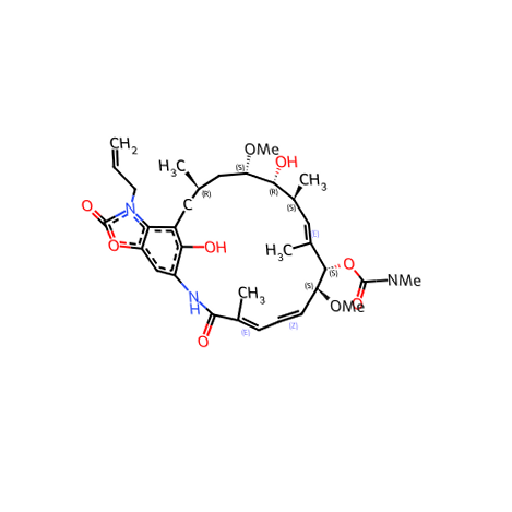 C=CCn1c(=O)oc2cc3c(O)c(c21)C[C@@H](C)C[C@H](OC)[C@H](O)[C@@H](C)/C=C(\C)[C@H](OC(=O)NC)[C@@H](OC)/C=C\C=C(/C)C(=O)N3